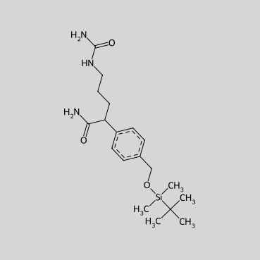 CC(C)(C)[Si](C)(C)OCc1ccc(C(CCCNC(N)=O)C(N)=O)cc1